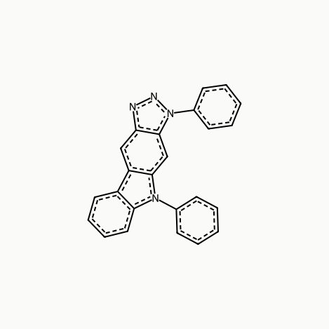 c1ccc(-n2nnc3cc4c5ccccc5n(-c5ccccc5)c4cc32)cc1